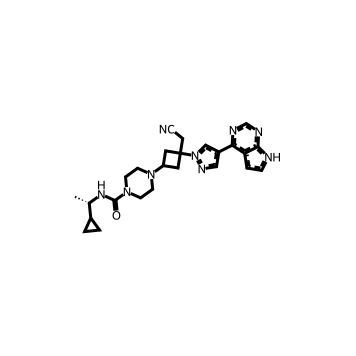 C[C@H](NC(=O)N1CCN(C2CC(CC#N)(n3cc(-c4ncnc5[nH]ccc45)cn3)C2)CC1)C1CC1